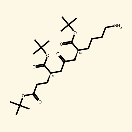 CC(C)(C)OC(=O)CC[C@H](CC(=O)C[C@H](CCCCN)C(=O)OC(C)(C)C)C(=O)OC(C)(C)C